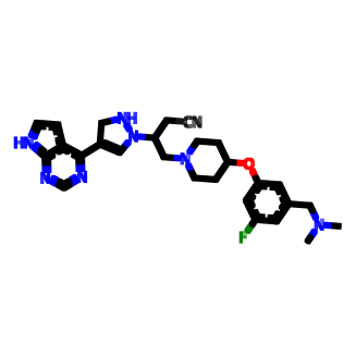 CN(C)Cc1cc(F)cc(OC2CCN(CC(CC#N)N3C=C(c4ncnc5[nH]ccc45)CN3)CC2)c1